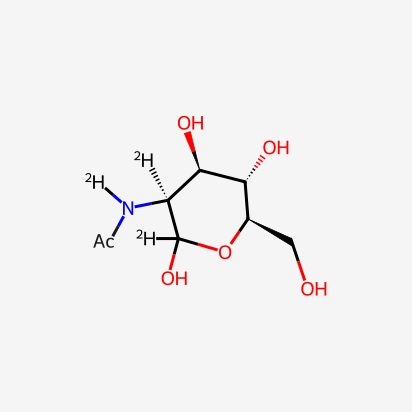 [2H]N(C(C)=O)[C@@]1([2H])[C@@H](O)[C@H](O)[C@@H](CO)OC1([2H])O